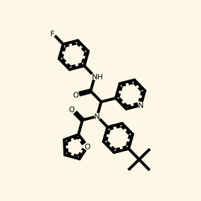 CC(C)(C)c1ccc(N(C(=O)c2ccco2)C(C(=O)Nc2ccc(F)cc2)c2cccnc2)cc1